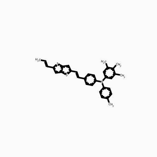 CC=Cc1cc2sc(C=Cc3ccc(N(c4ccc(C)cc4)c4cc(C)c(C)c(C)c4)cc3)cc2s1